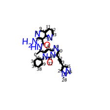 CC(NC(=O)c1c(N)ncc2cccnc12)c1cc2ncc(C#Cc3cnn(C)c3)n2c(=O)n1-c1ccccc1